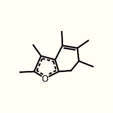 CC1=C(C)C(C)Cc2oc(C)c(C)c21